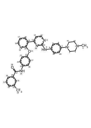 CN1CCN(c2ccc(Nc3nccc(-c4cccnc4Oc4ccc(NC(=O)c5cccc(C(F)(F)F)c5)cc4)n3)cc2)CC1